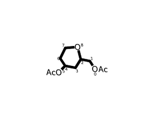 CC(=O)OCC1CC(OC(C)=O)CCO1